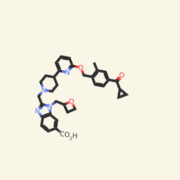 Cc1cc(C(=O)C2CC2)ccc1COc1cccc(C2CCN(Cc3nc4ccc(C(=O)O)cc4n3CC3CCO3)CC2)n1